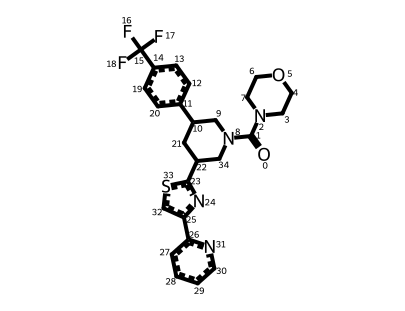 O=C(N1CCOCC1)N1CC(c2ccc(C(F)(F)F)cc2)CC(c2nc(-c3ccccn3)cs2)C1